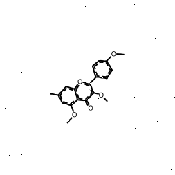 COc1ccc(-c2oc3cc(C)cc(OC)c3c(=O)c2OC)cc1